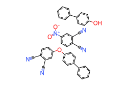 N#Cc1ccc(Oc2ccc(-c3ccccc3)cc2)cc1C#N.N#Cc1ccc([N+](=O)[O-])cc1C#N.Oc1ccc(-c2ccccc2)cc1